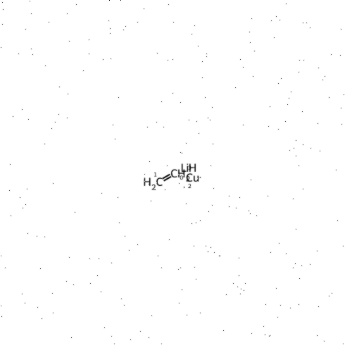 C=C.[Cu].[LiH]